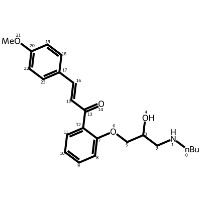 CCCCNCC(O)COc1ccccc1C(=O)C=Cc1ccc(OC)cc1